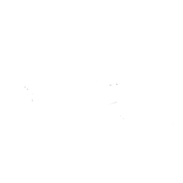 CCCCC[C@H](O)/C=C/[C@@H]1[C@H]2C[C@H](CCCCC(=O)N(C)C)C[C@H]2C[C@H]1O